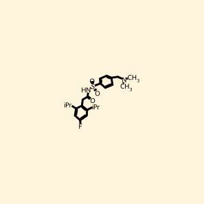 CC(C)c1cc(F)cc(C(C)C)c1CC(=O)NS(=O)(=O)c1ccc(CN(C)C)cc1